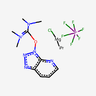 CN(C)C(On1nnc2cccnc21)=[N+](C)C.C[CH](C)[Mg][Cl].F[P-](F)(F)(F)(F)F